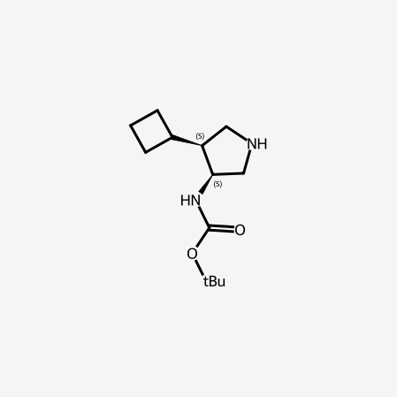 CC(C)(C)OC(=O)N[C@@H]1CNC[C@@H]1C1CCC1